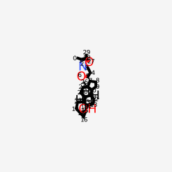 Cc1nc(CC(=O)[C@H]2CC[C@H]3[C@@H]4CC=C5C6C[C@@]6(O)CC[C@@H]5[C@H]4CC[C@]23C)oc1C